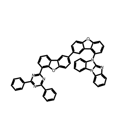 c1ccc(-c2nc(-c3ccccc3)nc(-c3cccc4c3oc3ccc(-c5ccc6oc7cccc(-n8c9ccccc9n9c%10ccccc%10nc89)c7c6c5)cc34)n2)cc1